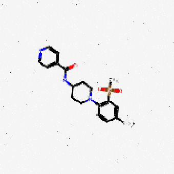 CS(=O)(=O)c1cc(C(=O)O)ccc1N1CCC(NC(=O)c2ccncc2)CC1